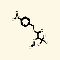 O=[C]OC(C(=O)OCc1ccc([N+](=O)[O-])cc1)C(Cl)(Cl)Cl